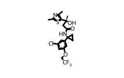 Cc1nc(C)c([C@](C)(O)CC(=O)NC2(c3cc(Cl)cc(OCC(F)(F)F)c3)CC2)s1